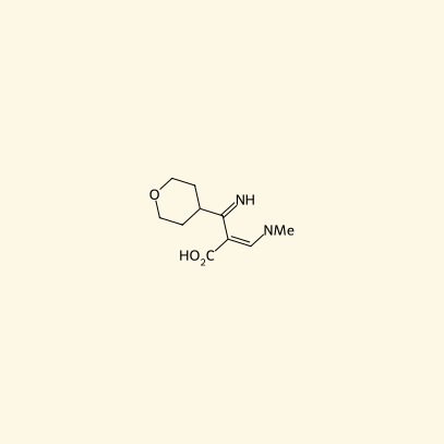 CN/C=C(\C(=N)C1CCOCC1)C(=O)O